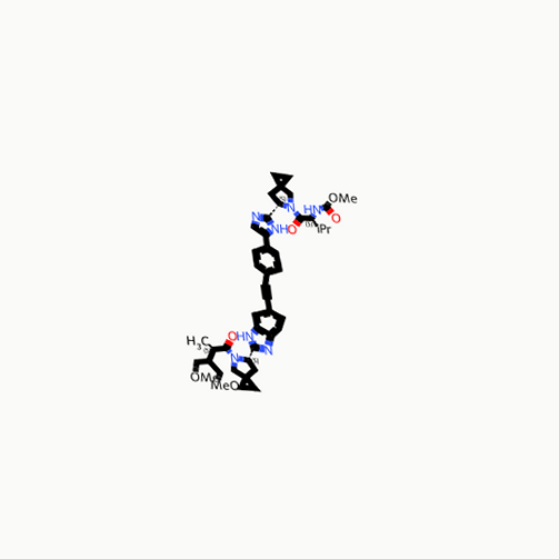 COCC(COC)[C@H](C)C(=O)N1CC2(CC2)C[C@H]1c1nc2ccc(C#Cc3ccc(-c4cnc([C@@H]5CC6(CC6)CN5C(=O)[C@@H](NC(=O)OC)C(C)C)[nH]4)cc3)cc2[nH]1